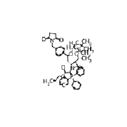 C=CCOC(=O)C(N1C(=O)[C@H]([C@@H](C)O[Si](C)(C)C(C)(C)C)[C@H]1CC(=O)c1ccc(CN2C(=O)CCC2=O)cc1)=P(c1ccccc1)(c1ccccc1)c1ccccc1